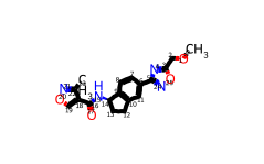 COCc1nc(-c2ccc3c(c2)CC[C@H]3NC(=O)c2conc2C)no1